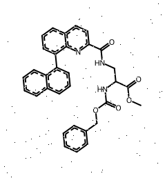 COC(=O)C(CNC(=O)c1ccc2cccc(-c3cccc4ccccc34)c2n1)NC(=O)OCc1ccccc1